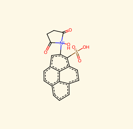 O=C1CCC(=O)[N+]1(O)c1cc2ccc3cccc4ccc(c1S(=O)(=O)O)c2c34